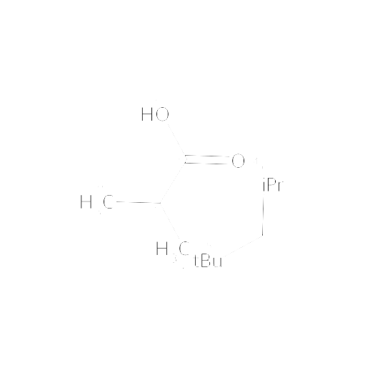 CC(C)C(=O)O.CC(C)CC(C)(C)C